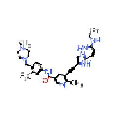 Cc1ncc(C(=O)Nc2ccc(CN3CCN(C)CC3)c(C(F)(F)F)c2)cc1C#Cc1cnc(/C=C\C(=N)NCC(C)C)[nH]1